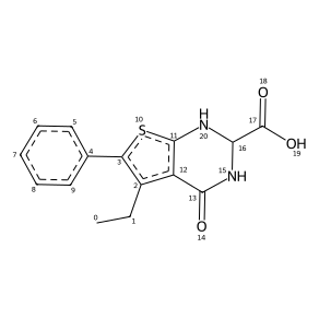 CCc1c(-c2ccccc2)sc2c1C(=O)NC(C(=O)O)N2